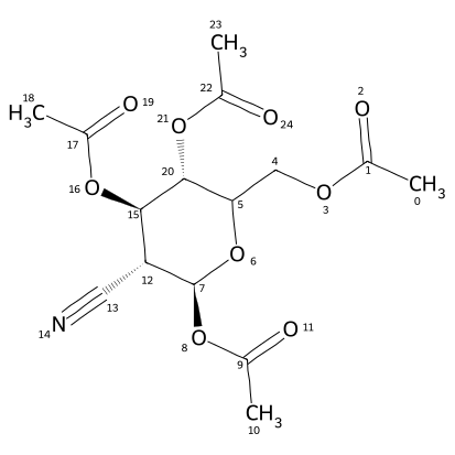 CC(=O)OCC1O[C@@H](OC(C)=O)[C@H](C#N)[C@@H](OC(C)=O)[C@@H]1OC(C)=O